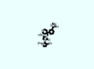 CCCCc1cn(-c2c(C(C)C)ccn2C(C)C)c(=O)n1CC1(c2cccc(-c3nnn[nH]3)c2)C=CN=CC1